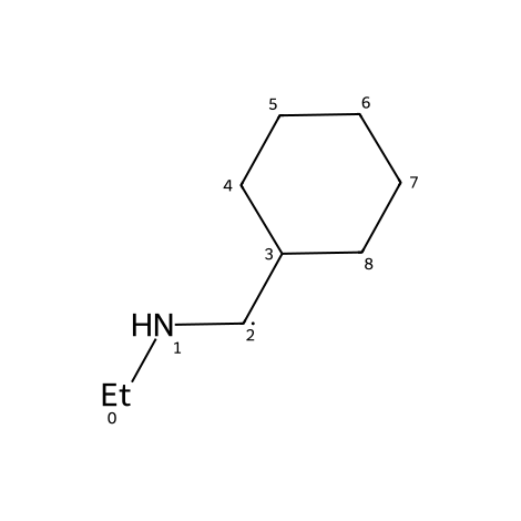 CCN[CH]C1CCCCC1